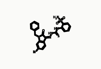 NS(=O)(=O)c1ccccc1NC(=S)NN=C1C(=O)N(Cc2ccccc2)c2cc(Br)ccc21